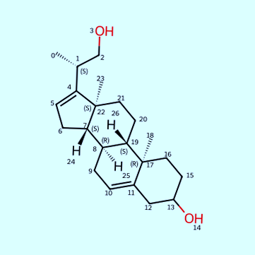 C[C@H](CO)C1=CC[C@H]2[C@@H]3CC=C4CC(O)CC[C@]4(C)[C@H]3CC[C@]12C